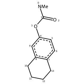 CNC(=O)Oc1ccc2c(c1)CCCC2